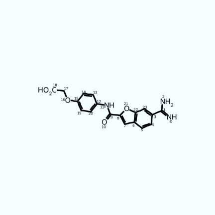 N=C(N)c1ccc2cc(C(=O)Nc3ccc(OCC(=O)O)cc3)oc2c1